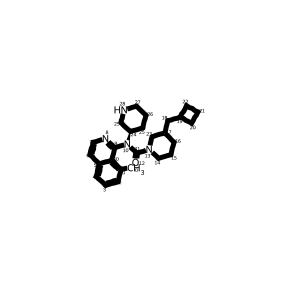 Cc1cccc2ccnc(N(C(=O)N3CCCC(CC4CCC4)C3)[C@@H]3CCCNC3)c12